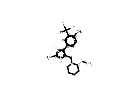 CC[C@@H]1CCCCN1Cc1sc(N)nc1-c1ccc(C)c(C(F)(F)F)c1